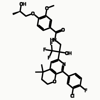 COc1cc(C(=O)NCC(O)(c2cc3c(c(-c4ccc(F)c(Cl)c4)n2)OCCC3(C)C)C(F)(F)F)ccc1OC[C@@H](C)O